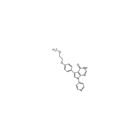 COCCOc1ccc(-c2cn(-c3ccncc3)c3nc[nH]c(=O)c23)cc1